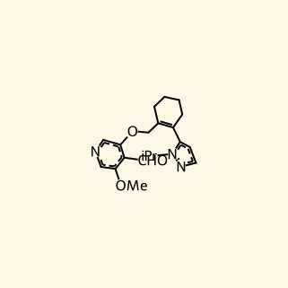 COc1cncc(OCC2=C(c3ccnn3C(C)C)CCCC2)c1C=O